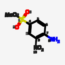 COS(=O)(=O)c1ccc(N)c([N+](=O)[O-])c1